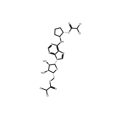 O=C(OC[C@H]1O[C@@H](n2cnc3c(N[C@H]4CCC[C@@H]4OC(=O)C(Cl)Cl)ncnc32)[C@H](O)[C@@H]1O)C(Cl)Cl